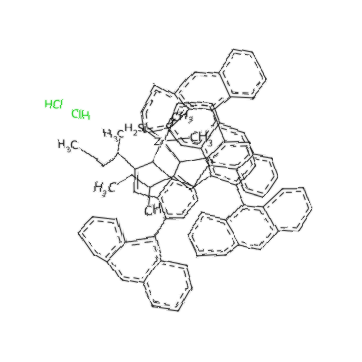 CCC(C)C1=Cc2c(-c3c4ccccc4cc4ccccc34)ccc(-c3c4ccccc4cc4ccccc34)c2[CH]1[Zr]([CH3])([CH3])(=[SiH2])[CH]1C(C(C)CC)=Cc2c(-c3c4ccccc4cc4ccccc34)ccc(-c3c4ccccc4cc4ccccc34)c21.Cl.Cl